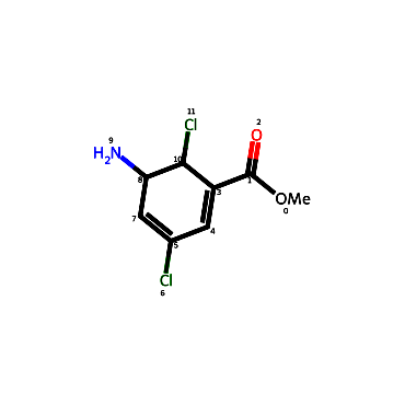 COC(=O)C1=CC(Cl)=CC(N)C1Cl